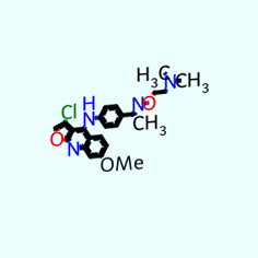 COc1ccc2c(Nc3ccc(C(C)=NOCCN(C)C)cc3)c3c(Cl)coc3nc2c1